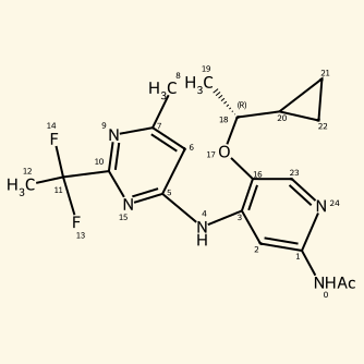 CC(=O)Nc1cc(Nc2cc(C)nc(C(C)(F)F)n2)c(O[C@H](C)C2CC2)cn1